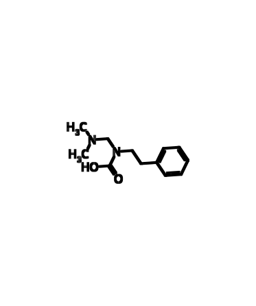 CN(C)CN(CCc1ccccc1)C(=O)O